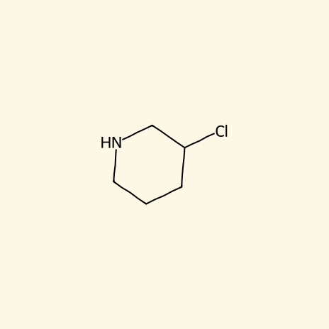 ClC1CCCNC1